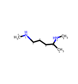 CNCCCC(C)NC